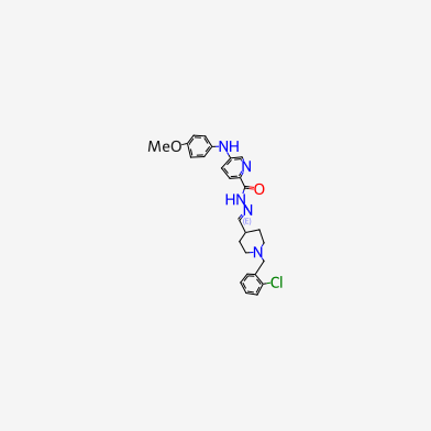 COc1ccc(Nc2ccc(C(=O)N/N=C/C3CCN(Cc4ccccc4Cl)CC3)nc2)cc1